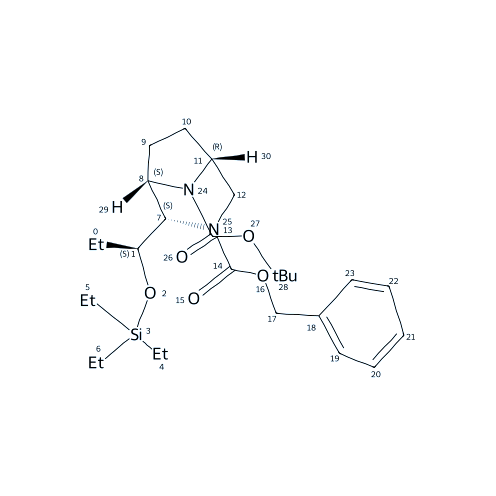 CC[C@H](O[Si](CC)(CC)CC)[C@@H]1[C@@H]2CC[C@H](CN1C(=O)OCc1ccccc1)N2C(=O)OC(C)(C)C